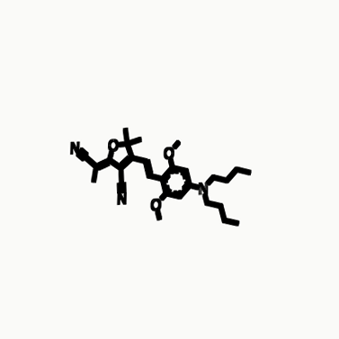 CCCCN(CCCC)c1cc(OC)c(/C=C/C2=C(C#N)C(=C(\C)C#N)/OC2(C)C)c(OC)c1